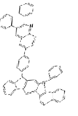 c1ccc(-c2cc3cc(-c4ccc(-n5c6ccccc6c6cc7c8ccc9ccccc9c8n(-c8ccccc8)c7cc65)cc4)ccc3nc2-c2ccccc2)cc1